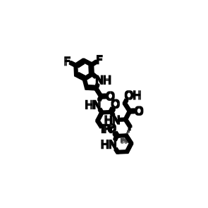 CC(C)CC(NC(=O)c1cc2cc(F)cc(F)c2[nH]1)C(=O)NC(C[C@@H]1CCCNC1=O)C(=O)CO